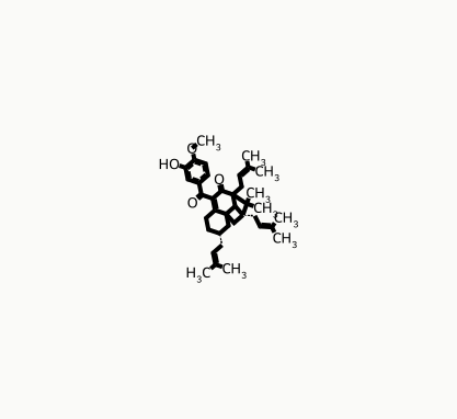 COc1ccc(C(=O)C2=C3CC[C@@H](CC=C(C)C)CC34C[C@@]3(CC=C(C)C)C4C(CC=C(C)C)(C2=O)C3(C)C)cc1O